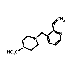 C=Cc1ncccc1CN1CCN(C(=O)O)CC1